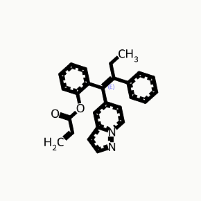 C=CC(=O)Oc1ccccc1/C(=C(\CC)c1ccccc1)c1ccn2nccc2c1